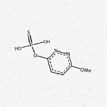 COc1ccc(OP(O)(O)=S)nn1